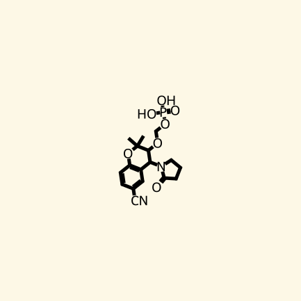 CC1(C)Oc2ccc(C#N)cc2C(N2CCCC2=O)C1OCOP(=O)(O)O